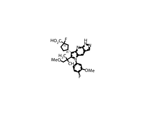 COCC(C)(C)c1c([C@@H]2CC[C@@](F)(C(=O)O)C2)c2nc3[nH]ncc3cc2n1-c1ccc(F)c(OC)c1